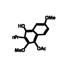 CCCc1c(OC)c(OC(C)=O)c2ccc(OC)cc2c1O